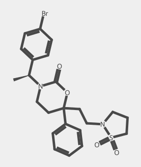 C[C@@H](c1ccc(Br)cc1)N1CCC(CCN2CCCS2(=O)=O)(c2ccccc2)OC1=O